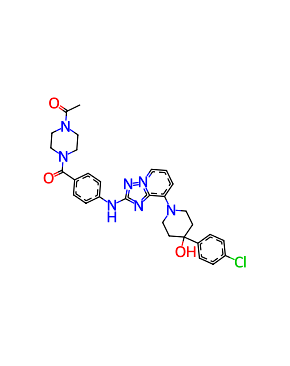 CC(=O)N1CCN(C(=O)c2ccc(Nc3nc4c(N5CCC(O)(c6ccc(Cl)cc6)CC5)cccn4n3)cc2)CC1